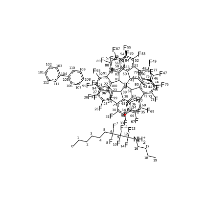 CCCCCCC(F)(F)C(F)(F)C(F)(F)[NH2+]CCCC.Fc1cc2c(c(F)c1F)-c1c(F)c(F)c(F)c(F)c1C2[B-](C1c2cc(F)c(F)c(F)c2-c2c(F)c(F)c(F)c(F)c21)(C1c2cc(F)c(F)c(F)c2-c2c(F)c(F)c(F)c(F)c21)C1c2cc(F)c(F)c(F)c2-c2c(F)c(F)c(F)c(F)c21.c1ccc(-c2ccccc2)cc1